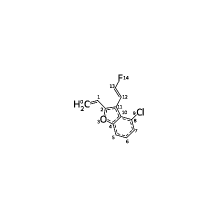 C=Cc1oc2cccc(Cl)c2c1/C=C/F